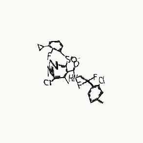 Cc1ccc(C(F)(F)CNC(=O)c2c([S+]([O-])c3cccc(C4CC4)c3F)nnc(Cl)c2C)c(Cl)c1